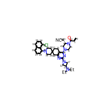 C=CC(=O)N1CCN(c2nc(N3CC(N(CC)CC)C3)nc3c2CCC2(CCN(c4cccc5cccc(Cl)c45)CC2)C3)C[C@@H]1CC#N